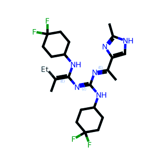 CC/C(C)=C(/N=C(\N=C(/C)c1c[nH]c(C)n1)NC1CCC(F)(F)CC1)NC1CCC(F)(F)CC1